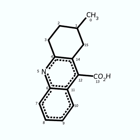 CC1CCc2nc3ccccc3c(C(=O)O)c2C1